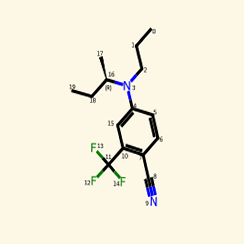 CCCN(c1ccc(C#N)c(C(F)(F)F)c1)[C@H](C)CC